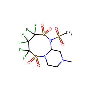 CN1CCN2C(C1)N(S(=O)(=O)C(F)(F)F)S(=O)(=O)C(F)(F)C(F)(F)C(F)(F)S2(=O)=O